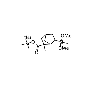 CO[Si](C)(OC)C1CC2CC1C(C)(C(=O)O[Si](C)(C)C(C)(C)C)C2